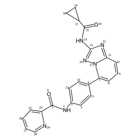 O=C(Nc1ccc(-c2cccc3nc(NC(=O)C4CC4)nn23)cc1)c1ccccn1